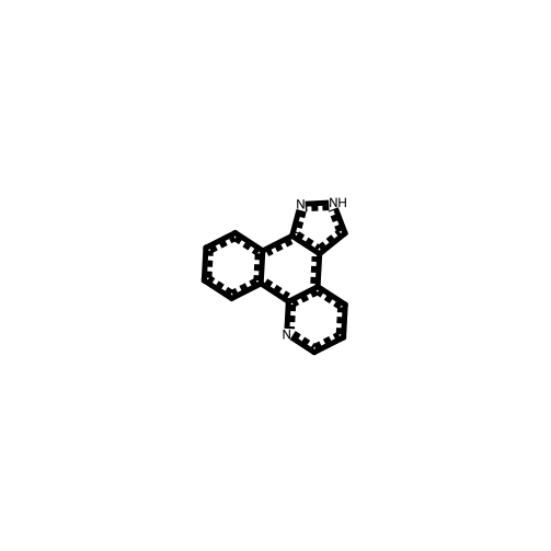 c1ccc2c(c1)c1ncccc1c1c[nH]nc21